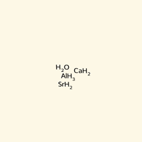 O.[AlH3].[CaH2].[SrH2]